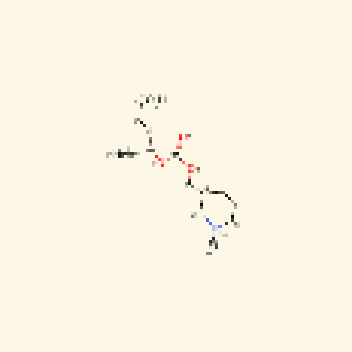 CCCCCCC(CCC(=O)O)OC(=O)OCC1CCCN(CC)C1